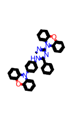 C/N=C(\N=C(/Nc1ccc(N2c3ccccc3Oc3ccccc32)cc1)c1ccccc1)N1c2ccccc2Oc2ccccc21